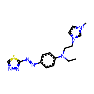 CCN(CCn1cc[n+](C)c1)c1ccc(N=Nc2nncs2)cc1